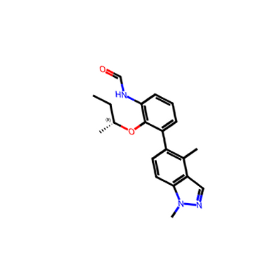 CC[C@@H](C)Oc1c(NC=O)cccc1-c1ccc2c(cnn2C)c1C